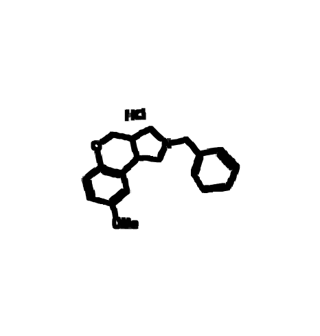 COc1ccc2c(c1)C1CN(Cc3ccccc3)CC1CO2.Cl